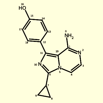 Nc1nccn2c(C3CC3)nc(-c3ccc(O)cc3)c12